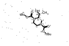 C[C@@H](O)[C@@H]1CN(C(=O)OC(C)(C)C)CCN1C(=O)OC(C)(C)C